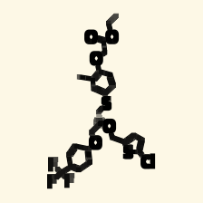 CCOC(=O)COc1ccc(SC[C@@H](COc2ccc(C(F)(F)F)cc2)OCc2ccc(Cl)s2)cc1C